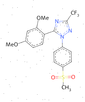 COc1ccc(-c2nc(C(F)(F)F)nn2-c2ccc(S(C)(=O)=O)cc2)c(OC)c1